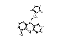 Clc1cccc(C(CNC2=NCCO2)c2cccnc2)c1Cl